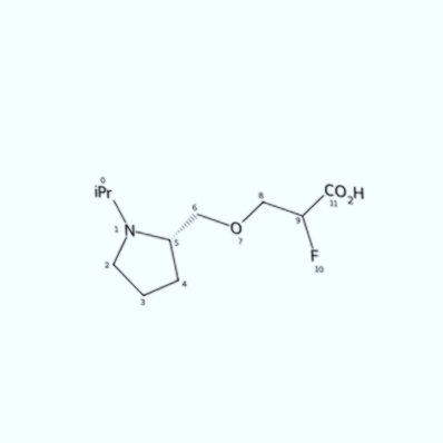 CC(C)N1CCC[C@H]1COCC(F)C(=O)O